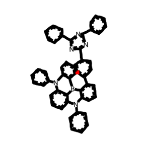 c1ccc(-c2nc(-c3ccccc3)nc(-c3ccc(-c4cccc5c4B4c6ccccc6N(c6ccccc6)c6cccc(c64)N5c4ccccc4)cc3)n2)cc1